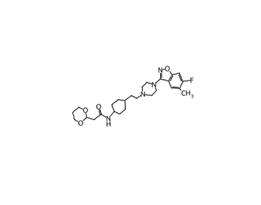 Cc1cc2c(N3CCN(CCC4CCC(NC(=O)CC5OCCCO5)CC4)CC3)noc2cc1F